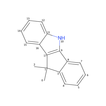 CC1(C)c2ccccc2-c2[nH]c3ccccc3c21